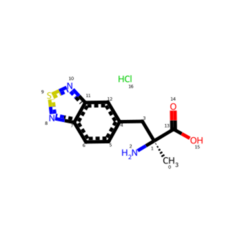 C[C@](N)(Cc1ccc2nsnc2c1)C(=O)O.Cl